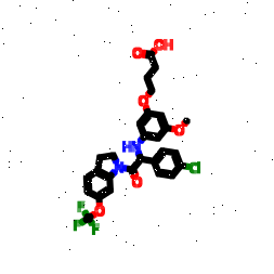 COc1cc(NC(C(=O)N2CCc3ccc(OC(F)(F)F)cc32)c2ccc(Cl)cc2)cc(OCCCC(=O)O)c1